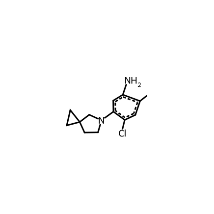 Cc1cc(Cl)c(N2CCC3(CC3)C2)cc1N